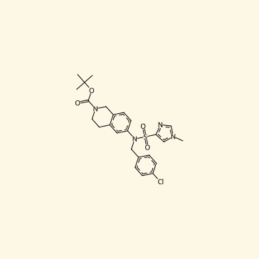 Cn1cnc(S(=O)(=O)N(Cc2ccc(Cl)cc2)c2ccc3c(c2)CCN(C(=O)OC(C)(C)C)C3)c1